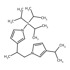 CC(C)c1ccn(CC(C)c2ccn(S(C(C)C)(C(C)C)C(C)C)c2)c1